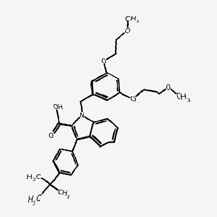 COCCOc1cc(Cn2c(C(=O)O)c(-c3ccc(C(C)(C)C)cc3)c3ccccc32)cc(OCCOC)c1